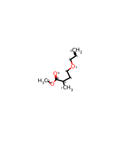 C=CCOCCC(C)C(=O)OC